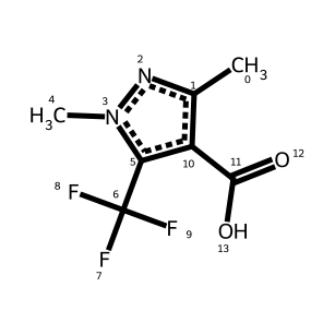 Cc1nn(C)c(C(F)(F)F)c1C(=O)O